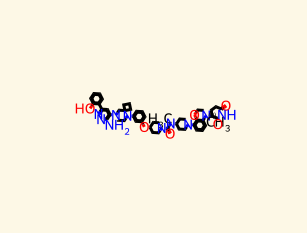 CN(C(=O)N1CCC(Oc2cccc(N3CCN(c4cc(-c5ccccc5O)nnc4N)CC34CCC4)c2)CC1)C1CCN(c2cccc3c2OCCN3[C@]2(C)CCC(=O)NC2=O)CC1